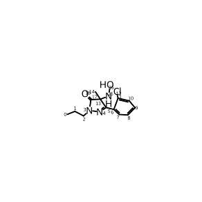 CCCN1N=C(c2ccccc2Cl)C(C)(NO)C1=O